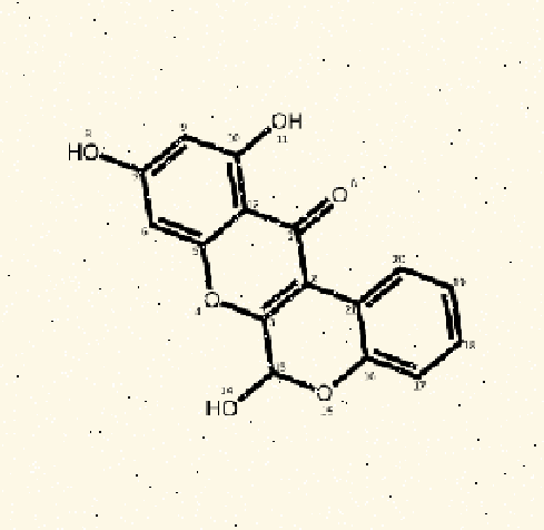 O=c1c2c(oc3cc(O)cc(O)c13)C(O)Oc1ccccc1-2